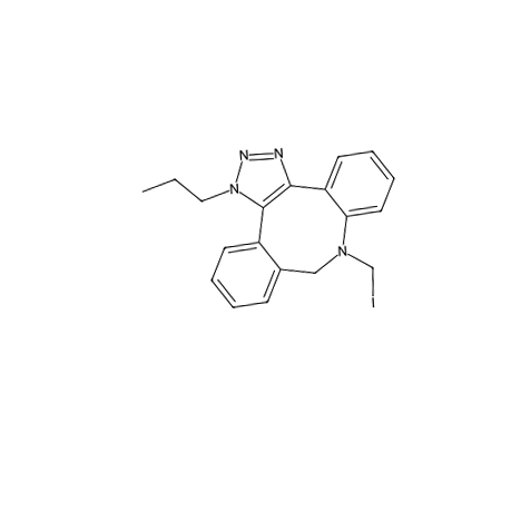 CCCn1nnc2c1-c1ccccc1CN(CI)c1ccccc1-2